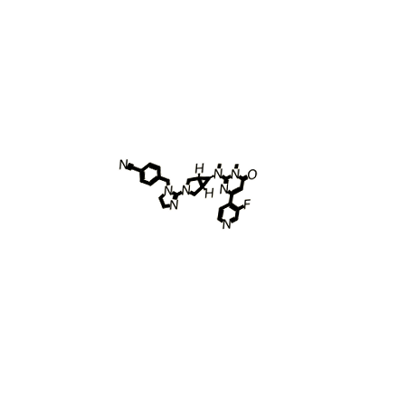 CN(c1nc(-c2ccncc2F)cc(=O)n1C)[C@H]1[C@@H]2CN(C3=NCCN3Cc3ccc(C#N)cc3)C[C@@H]21